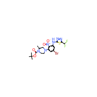 C[C@H]1CN(c2cc(Br)cc(Nc3nnc(C(F)F)s3)c2[N+](=O)[O-])CCN1C(=O)OC(C)(C)C